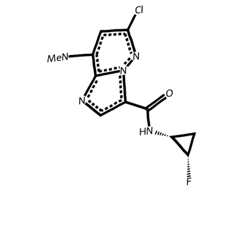 CNc1cc(Cl)nn2c(C(=O)N[C@@H]3C[C@@H]3F)cnc12